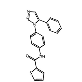 O=C(Nc1ccc(-n2nncc2-c2ccccc2)cc1)c1cccs1